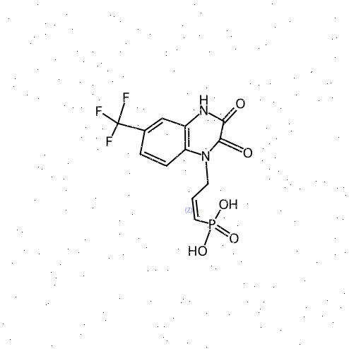 O=c1[nH]c2cc(C(F)(F)F)ccc2n(C/C=C\P(=O)(O)O)c1=O